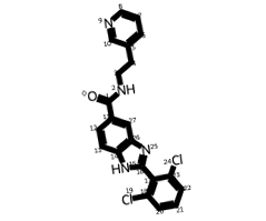 O=C(NCCc1cccnc1)c1ccc2[nH]c(-c3c(Cl)cccc3Cl)nc2c1